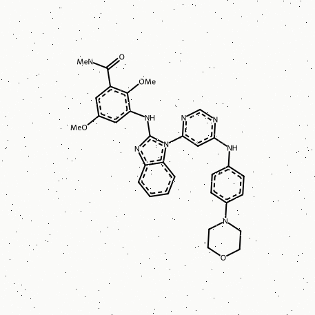 CNC(=O)c1cc(OC)cc(Nc2nc3ccccc3n2-c2cc(Nc3ccc(N4CCOCC4)cc3)ncn2)c1OC